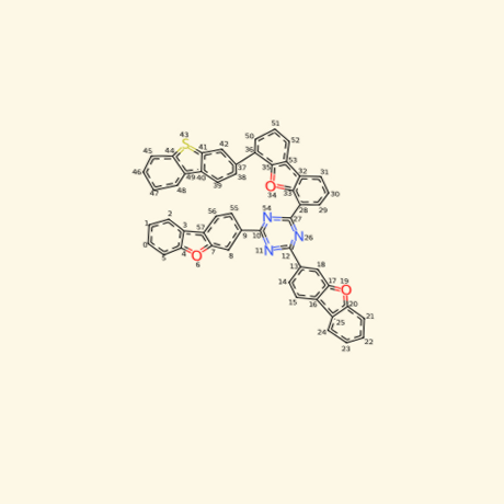 c1ccc2c(c1)oc1cc(-c3nc(-c4ccc5c(c4)oc4ccccc45)nc(-c4cccc5c4oc4c(-c6ccc7c(c6)sc6ccccc67)cccc45)n3)ccc12